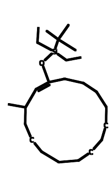 CC[Si](CC)(OC1=CC(C)CCCCCCCCCCCC1)C(C)(C)C